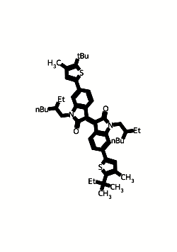 CCCCC(CC)CN1C(=O)/C(=C2/C(=O)N(CC(CC)CCCC)c3cc(-c4cc(C)c(C(C)(C)CC)s4)ccc32)c2ccc(-c3cc(C)c(C(C)(C)C)s3)cc21